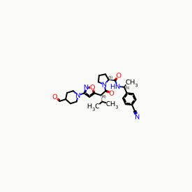 CC(C)[C@@H](C(=O)N1CCC[C@H]1C(=O)N[C@@H](C)c1ccc(C#N)cc1)c1cc(N2CCC(C=O)CC2)no1